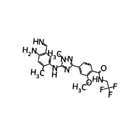 COc1cc(-c2nc(Nc3cc(C=N)c(N)cc3C)n(C)n2)ccc1C(=O)NCC(F)(F)F